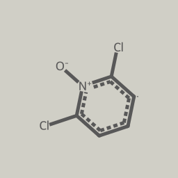 [O-][n+]1c(Cl)[c]ccc1Cl